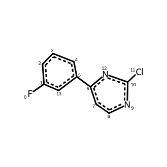 Fc1cccc(-c2ccnc(Cl)n2)c1